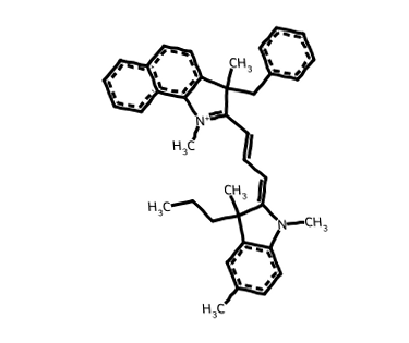 CCCC1(C)/C(=C\C=C\C2=[N+](C)c3c(ccc4ccccc34)C2(C)Cc2ccccc2)N(C)c2ccc(C)cc21